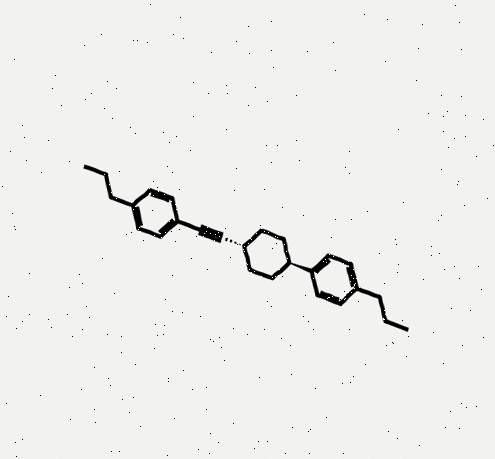 CCCc1ccc(C#C[C@H]2CC[C@H](c3ccc(CCC)cc3)CC2)cc1